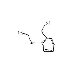 SCSC1=S(CS)C=CC=C1